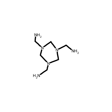 NCN1CN(CN)CN(CN)C1